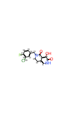 O=C1c2c(c[nH]c(=O)c2O)CCN1Cc1ccc(F)c(Cl)c1